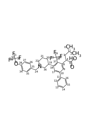 CC(C)CC(C(=O)O)c1cc(-c2ccccc2)cc(C2CCCN(Cc3ccc(OC(F)(F)F)cc3)C2)c1C(F)(F)F